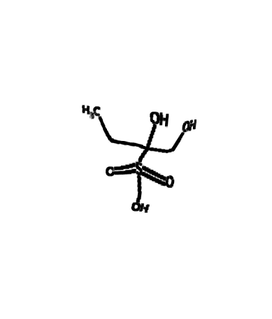 CCC(O)(CO)S(=O)(=O)O